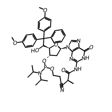 COc1ccc(C(c2ccccc2)(c2ccc(OC)cc2)C(O)[C@H]2O[C@@H](n3cnc4c(=O)[nH]c(NC(=O)C(C)C)nc43)C[C@@H]2OP(OCCC#N)N(C(C)C)C(C)C)cc1